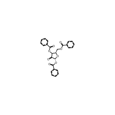 O=C(OC[C@H]1O[C@H](OC(=O)c2ccccc2)C(=O)C1OC(=O)c1ccccc1)c1ccccc1